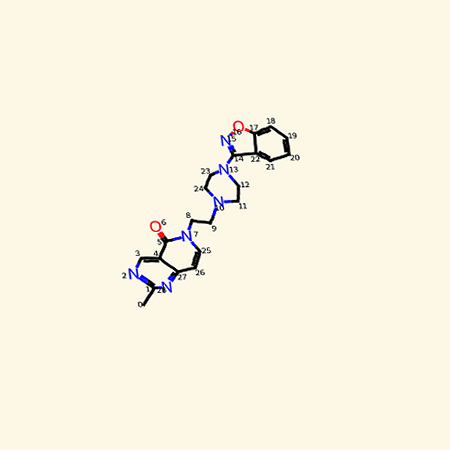 Cc1ncc2c(=O)n(CCN3CCN(c4noc5ccccc45)CC3)ccc2n1